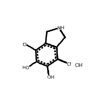 Cl.Oc1c(O)c(Cl)c2c(c1Cl)CNC2